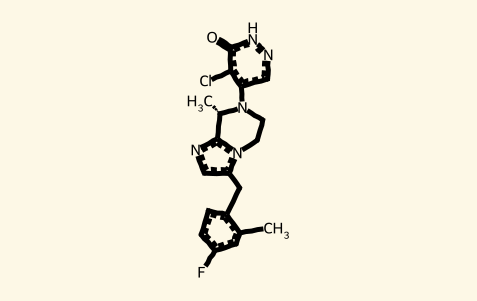 Cc1cc(F)ccc1Cc1cnc2n1CCN(c1cn[nH]c(=O)c1Cl)[C@H]2C